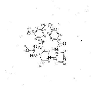 COC(=O)N[C@@H]1[C@H](N)CN(c2ccncc2NC(=O)c2ccc(F)c(-c3c(F)cc(OC)cc3F)n2)C[C@@H]1C